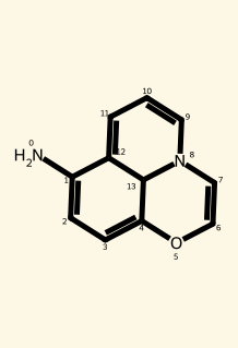 NC1=CC=C2OC=CN3C=CC=C1C23